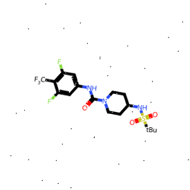 CC(C)(C)S(=O)(=O)NC1CCN(C(=O)Nc2cc(F)c(C(F)(F)F)c(F)c2)CC1